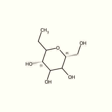 CCC1O[C@H](CO)C(O)C(O)[C@@H]1O